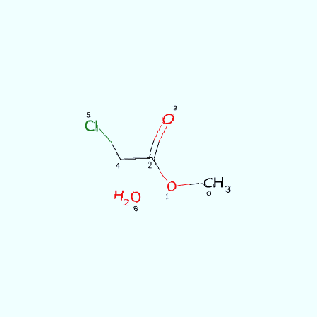 COC(=O)CCl.O